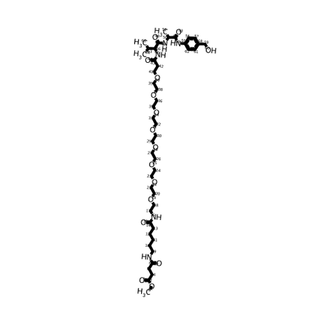 COC(=O)CCC(=O)NCCCCCC(=O)NCCOCCOCCOCCOCCOCCOCCOCCOCCC(=O)NC(C(=O)NC(C)C(=O)Nc1ccc(CO)cc1)C(C)C